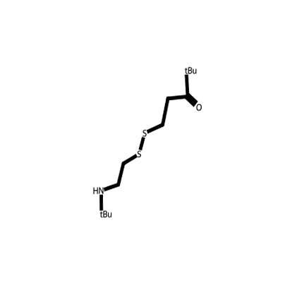 CC(C)(C)NCCSSCCC(=O)C(C)(C)C